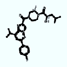 CC(C)C[C@@H](O)C(=O)N1CCN(C(=O)c2cn3nc(-c4ccc(F)cc4)cc(C(C)C)c3n2)C[C@@H]1C